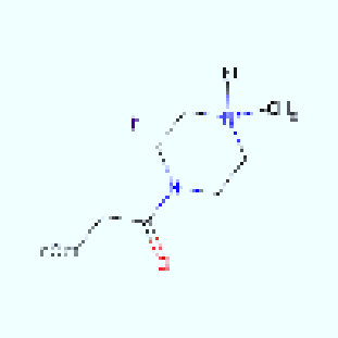 CCCCCCCCCC(=O)N1CC[N+](C)(CC)CC1.[I-]